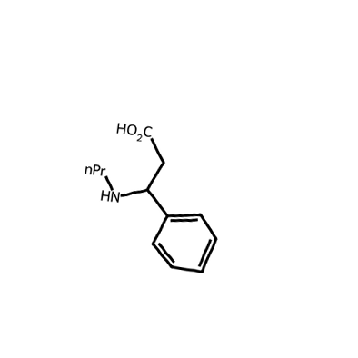 CCCNC(CC(=O)O)c1ccccc1